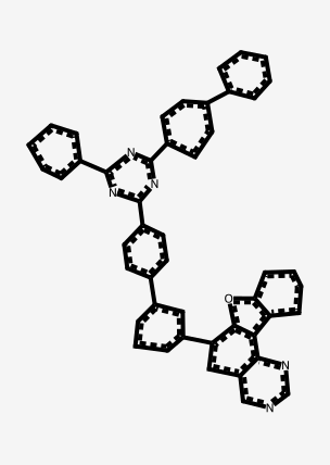 c1ccc(-c2ccc(-c3nc(-c4ccccc4)nc(-c4ccc(-c5cccc(-c6cc7cncnc7c7c6oc6ccccc67)c5)cc4)n3)cc2)cc1